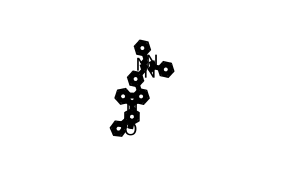 c1ccc(-c2nc(-c3ccccc3)nc(-c3cccc(-c4cccc5c4c4ccccc4n5-c4ccc5oc6ccccc6c5c4)c3)n2)cc1